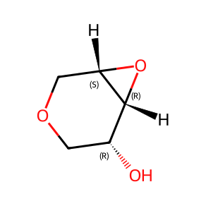 O[C@@H]1COC[C@@H]2O[C@H]12